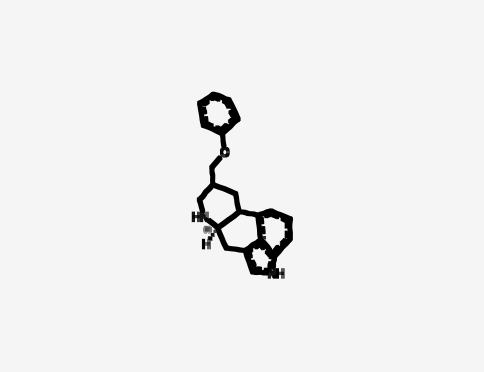 c1ccc(OCC2CN[C@@H]3Cc4c[nH]c5cccc(c45)C3C2)cc1